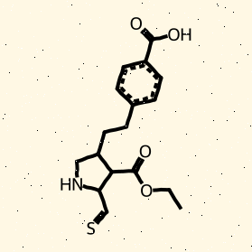 CCOC(=O)C1C(CCc2ccc(C(=O)O)cc2)CNC1C=S